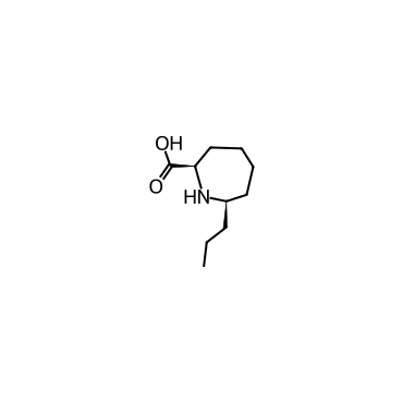 CCC[C@@H]1CCCC[C@H](C(=O)O)N1